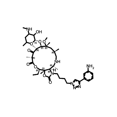 CC[C@H]1OC(=O)[C@H](C)C(=O)[C@H](C)[C@@H](O[C@@H]2OC(C)CC(NC)C2O)[C@](C)(OC)C[C@@H](C)CN[C@H](C)[C@H]2N(CCCCn3cc(-c4cccc(N)c4)nn3)C(=O)O[C@]12C